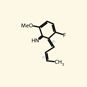 C/C=C\C=C1/C(=N)C(OC)=CC=C1F